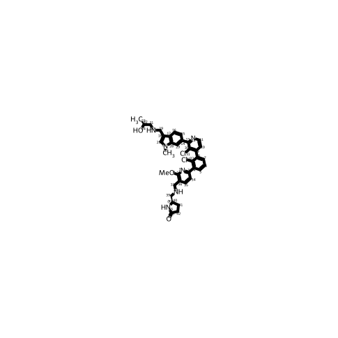 COc1nc(-c2cccc(-c3ccnc(-c4ccc5c(CNC[C@H](C)O)cn(C)c5c4)c3Cl)c2Cl)ccc1CNC[C@H]1CCC(=O)N1